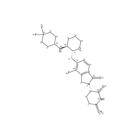 C=C1CC[C@H](N2Cc3c(ccc(C[C@H]4OCCC[C@@H]4NC4CCC(F)(F)CC4)c3F)C2=O)C(=O)N1